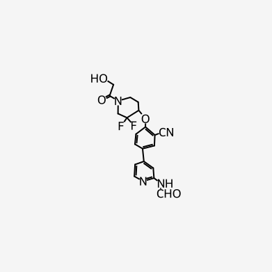 N#Cc1cc(-c2ccnc(NC=O)c2)ccc1OC1CCN(C(=O)CO)CC1(F)F